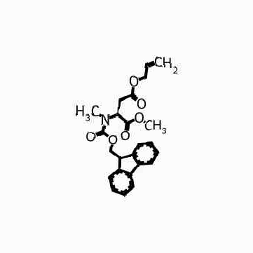 C=CCOC(=O)C[C@@H](C(=O)OC)N(C)C(=O)OCC1c2ccccc2-c2ccccc21